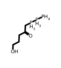 O=C(CCCO)C[PH3][PH3][PH4]